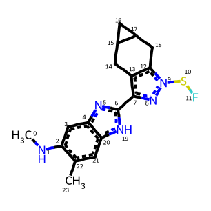 CNc1cc2nc(-c3nn(SF)c4c3CC3CC3C4)[nH]c2cc1C